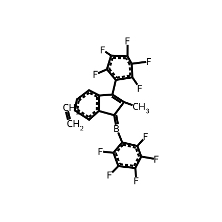 C=C.CC1=C(c2c(F)c(F)c(F)c(F)c2F)c2ccccc2C1=Bc1c(F)c(F)c(F)c(F)c1F